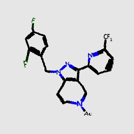 CC(=O)N1CCc2c(c(-c3cccc(C(F)(F)F)n3)nn2Cc2ccc(F)cc2F)C1